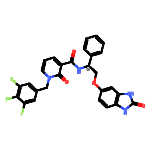 O=C(N[C@H](COc1ccc2[nH]c(=O)[nH]c2c1)c1ccccc1)c1cccn(Cc2cc(F)c(F)c(F)c2)c1=O